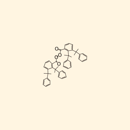 CC(C)(c1ccccc1)c1cccc(C(=O)OOC(=O)c2cccc(C(C)(C)c3ccccc3)c2C(C)(C)c2ccccc2)c1C(C)(C)c1ccccc1